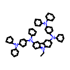 CCn1c2ccc(N(c3ccccc3)c3ccc(N(c4ccccc4)c4ccccc4)cc3)cc2c2cc(N(c3ccccc3)c3ccc(N(c4ccccc4)c4ccccc4)cc3)ccc21